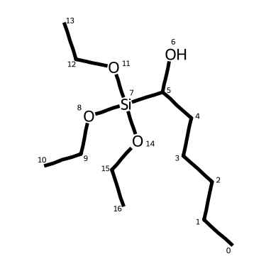 CCCCCC(O)[Si](OCC)(OCC)OCC